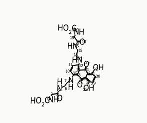 O=C(O)NCC(=O)NCCNc1ccc(NCCNC(=O)CNC(=O)O)c2c1C(=O)c1c(O)ccc(O)c1C2=O